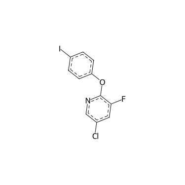 Fc1cc(Cl)cnc1Oc1ccc(I)cc1